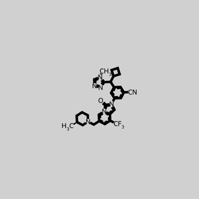 C[C@H]1CCCN(Cc2cc(C(F)(F)F)c3cn(-c4cc(C#N)cc(C(c5nncn5C)C5CCC5)c4)c(=O)n3c2)C1